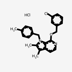 Cc1ccc(Cn2c(C)c(C)c3ccnc(OCc4cccc(Cl)c4)c32)cc1.Cl